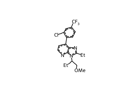 CCc1nc2c(-c3ccc(C(F)(F)F)cc3Cl)ccnc2n1C(CC)COC